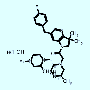 CC(=O)N1CCN(C[C@H]2CN[C@H](C)CN2CC(=O)N2CC(C)(C)c3ncc(Cc4ccc(F)cc4)cc32)C(C)C1.Cl.Cl